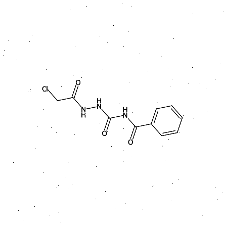 O=C(CCl)NNC(=O)NC(=O)c1ccccc1